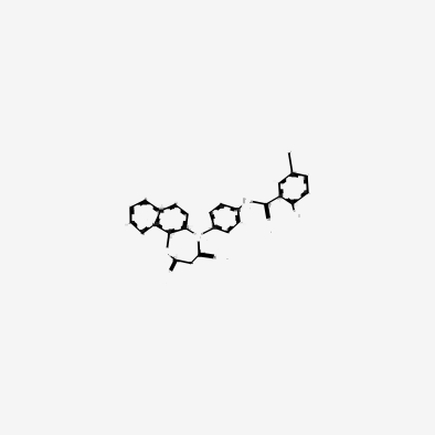 Cc1ccc(O)c(C(=O)Nc2ccc(N3C(=O)CC(=O)Nc4c3ccc3ccccc43)cc2)c1